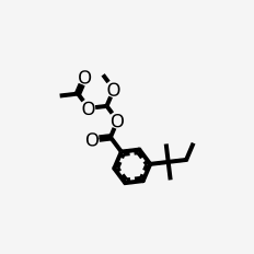 CCC(C)(C)c1cccc(C(=O)OC(OC)OC(C)=O)c1